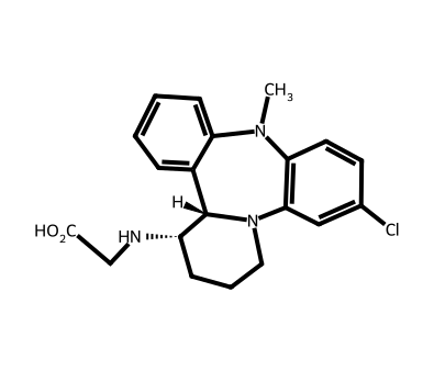 CN1c2ccccc2[C@H]2[C@@H](NCC(=O)O)CCCN2c2cc(Cl)ccc21